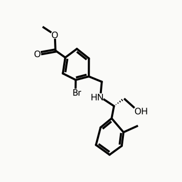 COC(=O)c1ccc(CN[C@H](CO)c2ccccc2C)c(Br)c1